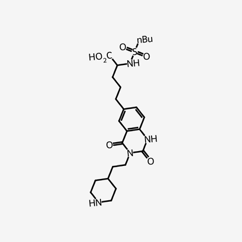 CCCCS(=O)(=O)NC(CCCc1ccc2[nH]c(=O)n(CCC3CCNCC3)c(=O)c2c1)C(=O)O